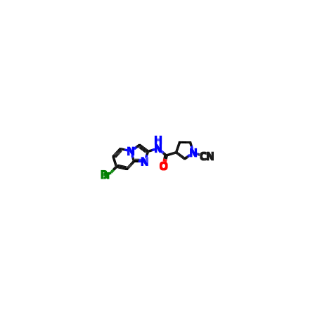 N#CN1CCC(C(=O)Nc2cn3ccc(Br)cc3n2)C1